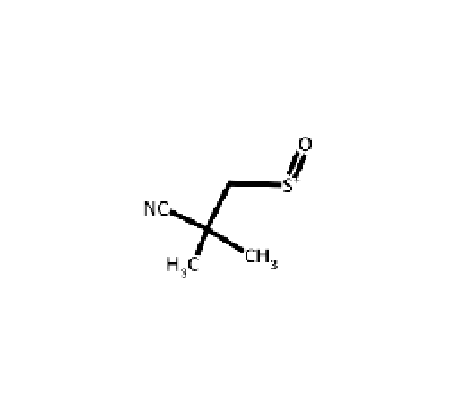 CC(C)(C#N)C[S+]=O